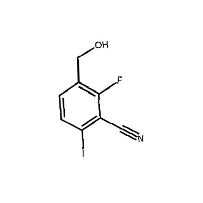 N#Cc1c(I)ccc(CO)c1F